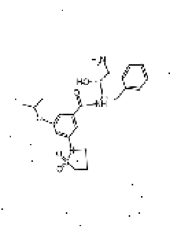 CC(C)Oc1cc(C(=O)N[C@@H](Cc2ccccc2)[C@H](O)CN)cc(N2CCCS2(=O)=O)c1